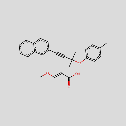 COC=CC(=O)O.Cc1ccc(OC(C)(C)C#Cc2ccc3ccccc3c2)cc1